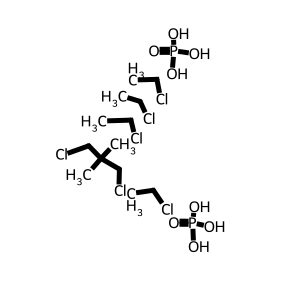 CC(C)(CCl)CCl.CCCl.CCCl.CCCl.CCCl.O=P(O)(O)O.O=P(O)(O)O